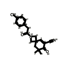 CC1(C)CC2(C=C(C#N)C1=O)CN(C(=O)Cc1ccc(Cl)cc1)C2